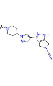 CN1CCC(n2cc(-c3n[nH]c4c3CN(C#N)C4)cn2)CC1